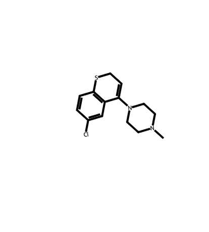 CN1CCN(C2=CCSc3ccc(Cl)cc32)CC1